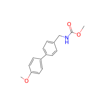 COC(=O)NCc1ccc(-c2ccc(OC)cc2)cc1